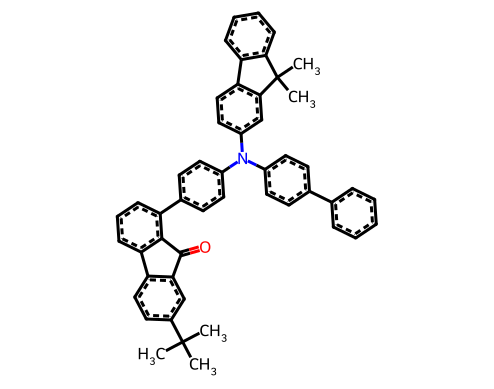 CC(C)(C)c1ccc2c(c1)C(=O)c1c(-c3ccc(N(c4ccc(-c5ccccc5)cc4)c4ccc5c(c4)C(C)(C)c4ccccc4-5)cc3)cccc1-2